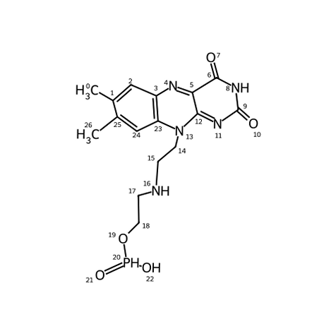 Cc1cc2nc3c(=O)[nH]c(=O)nc-3n(CCNCCO[PH](=O)O)c2cc1C